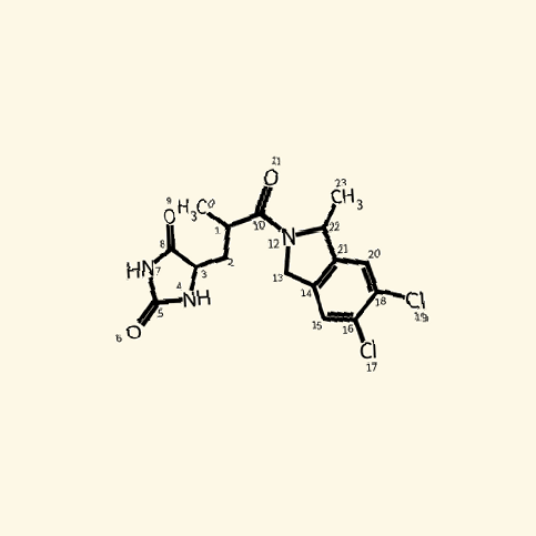 CC(CC1NC(=O)NC1=O)C(=O)N1Cc2cc(Cl)c(Cl)cc2C1C